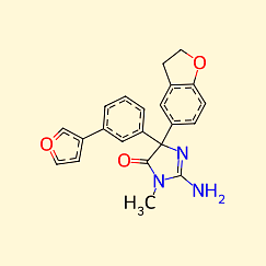 CN1C(=O)C(c2cccc(-c3ccoc3)c2)(c2ccc3c(c2)CCO3)N=C1N